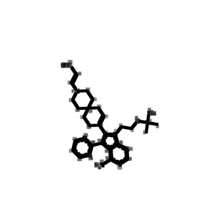 CC(C)(C)[Si](C)(C)OCCn1c(C2=CCC3(CC2)CCN(C=CC=O)CC3)c(-c2ncccn2)c2c(N)ncnc21